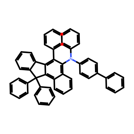 c1ccc(-c2ccc(N(c3ccccc3)c3c(-c4ccccc4)c4c(c5ccccc35)C(c3ccccc3)(c3ccccc3)c3ccccc3-4)cc2)cc1